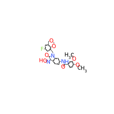 COc1ccc(C(=O)Nc2ccc3c(c2)N(Cc2cc(F)cc4c2OCOC4)C(=O)/C3=N\O)cc1OC